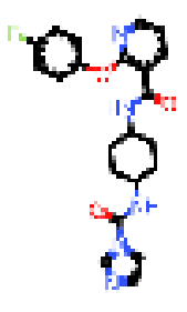 O=C(NC1CCC(NC(=O)n2ccnc2)CC1)c1cccnc1Oc1ccc(F)cc1